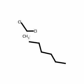 CCCCCC.ClCCl.[CH3]